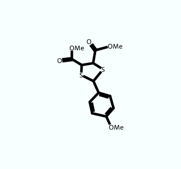 COC(=O)C1SC(c2ccc(OC)cc2)SC1C(=O)OC